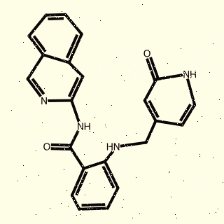 O=C(Nc1cc2ccccc2cn1)c1ccccc1NCc1cc[nH]c(=O)c1